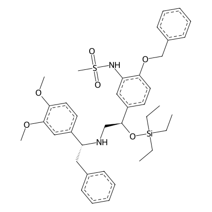 CC[Si](CC)(CC)O[C@@H](CN[C@H](Cc1ccccc1)c1ccc(OC)c(OC)c1)c1ccc(OCc2ccccc2)c(NS(C)(=O)=O)c1